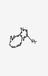 CC(C)c1cnc2ncccn12